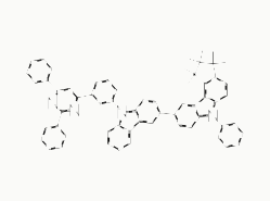 CC1(C)c2ccc3c(c2C(C)(C)C1(C)C)c1cc(-c2ccc4c(c2)c2ccccc2n4-c2cccc(-c4cc(-c5ccccc5)nc(-c5ccccc5)n4)c2)ccc1n3-c1ccccc1